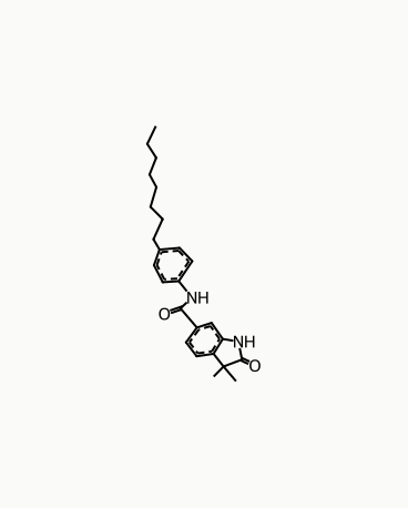 CCCCCCCCc1ccc(NC(=O)c2ccc3c(c2)NC(=O)C3(C)C)cc1